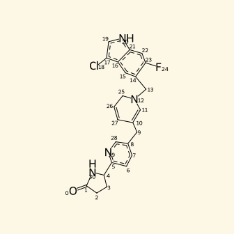 O=C1CCC(c2ccc(CC3=CN(Cc4cc5c(Cl)c[nH]c5cc4F)CC=C3)cn2)N1